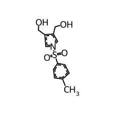 Cc1ccc(S(=O)(=O)n2cc(CO)c(CO)c2)cc1